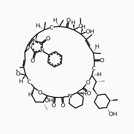 CO[C@H]1C[C@@H]2CC[C@@H](C)[C@@](O)(O2)C(=O)C(=O)N2CCCC[C@H]2C(=O)O[C@H]([C@H](C)C[C@@H]2CC[C@@H](O)[C@H](C)C2)CC(=O)[C@H](C)/C=C(\C)[C@@H](O)[C@@H](OC)C(=O)[C@H](C)C[C@H](C)C2C=CC(/C=C/1C)n1c(=O)n(-c3ccccc3)c(=O)n12